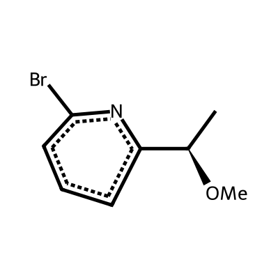 CO[C@H](C)c1cccc(Br)n1